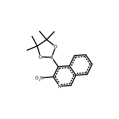 CC1(C)OB(c2c([N+](=O)[O-])ncc3ccccc23)OC1(C)C